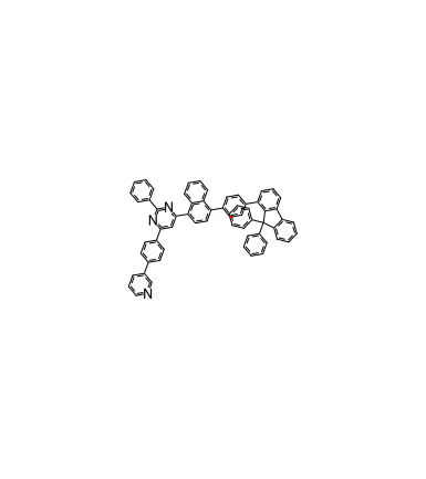 c1ccc(-c2nc(-c3ccc(-c4cccnc4)cc3)cc(-c3ccc(-c4ccc(-c5cccc6c5C(c5ccccc5)(c5ccccc5)c5ccccc5-6)cc4)c4ccccc34)n2)cc1